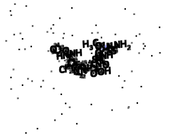 CO/N=C(\C(=O)N[C@@H]1C(=O)N2C(C(=O)O)=C(C[n+]3ccc4n(Cc5c(F)cc(C(=N)NOC6CCOCC6)cc5Cl)ccn43)CS[C@H]12)c1csc(N)n1